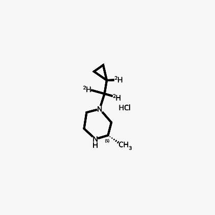 Cl.[2H]C1(C([2H])([2H])N2CCN[C@@H](C)C2)CC1